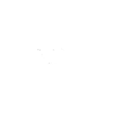 O=C1c2c(OCc3ccccc3)noc2C[C@@H]2CC=CC[C@]12O